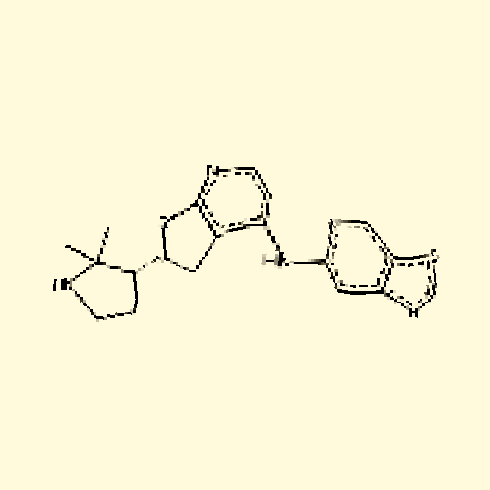 CC1(C)NCC[C@H]1C1Cc2c(Nc3ccc4scnc4c3)ccnc2S1